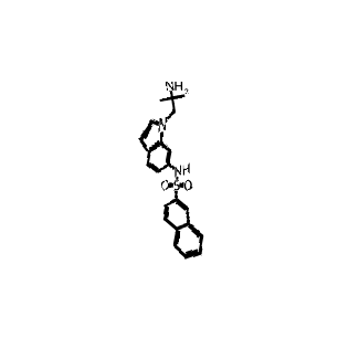 CC(C)(N)Cn1ccc2ccc(NS(=O)(=O)c3ccc4ccccc4c3)cc21